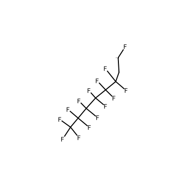 F[CH]CC(F)(F)C(F)(F)C(F)(F)C(F)(F)C(F)(F)C(F)(F)F